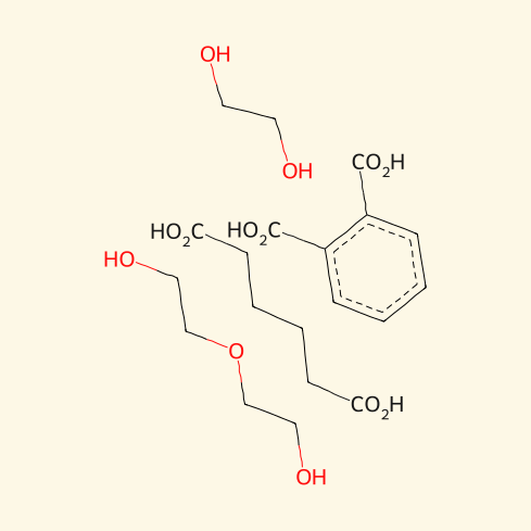 O=C(O)CCCCC(=O)O.O=C(O)c1ccccc1C(=O)O.OCCO.OCCOCCO